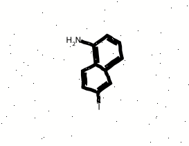 Nc1cccc2cc(I)ccc12